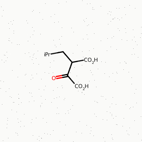 CC(C)CC(C(=O)O)C(=O)C(=O)O